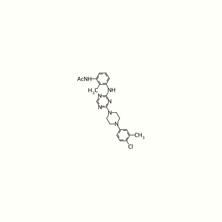 CC(=O)Nc1cccc(Nc2ncnc(N3CCN(c4ccc(Cl)c(C)c4)CC3)n2)c1C